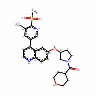 CS(=O)(=O)c1ncc(-c2ccnc3ccc(OC4CCN(C(=O)C5CCOCC5)C4)cc23)cc1C(F)(F)F